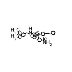 CCOc1cc(CCNC(=O)C[C@H]2S[C@@H](c3ccc(C#Cc4ccccc4)cc3)N(c3cccc(C(N)=O)c3)C2=O)ccc1OC